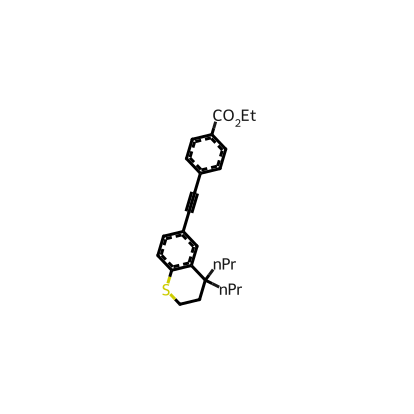 CCCC1(CCC)CCSc2ccc(C#Cc3ccc(C(=O)OCC)cc3)cc21